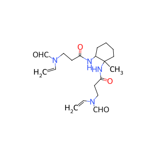 C=CN(C=O)CCC(=O)NC1CCCCC1(C)NC(=O)CCN(C=C)C=O